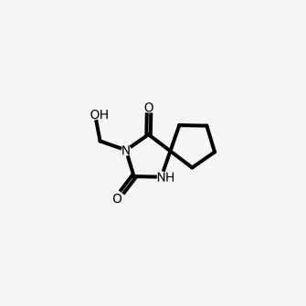 O=C1NC2(CCCC2)C(=O)N1CO